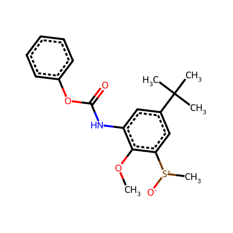 COc1c(NC(=O)Oc2ccccc2)cc(C(C)(C)C)cc1[S+](C)[O-]